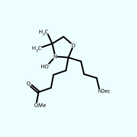 CCCCCCCCCCCCCC1(CCCC(=O)OC)OCC(C)(C)N1O